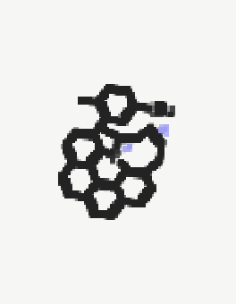 C/C1=C\C=C/Cc2ccc3ccc4ccc5ccc(-c6cc(C(C)(C)C)ccc6C)c6c5c4c3c2P16